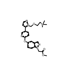 COC(=O)Cn1ncc2cc(Oc3ccc(-c4ccnn4COCC[Si](C)(C)C)cn3)ccc21